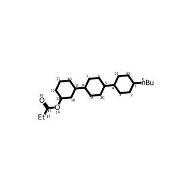 CCCCC1CCC(C2CCC(C3CCCC(OC(=O)CC)C3)CC2)CC1